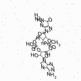 CCCC1C2OP(C)(=O)OC[C@H]3O[C@@H](n4cnc5c(N)ncnc54)C(O)C3OP(=O)(O)OC[C@H]1O[C@H]2n1cnc2c(=O)[nH]c(N)nc21